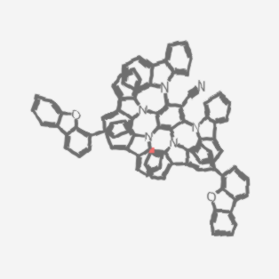 N#Cc1c(-n2c3ccccc3c3ccccc32)c(-n2c3ccccc3c3cc(-c4cccc5c4oc4ccccc45)ccc32)c(-n2c3ccccc3c3ccccc32)c(-n2c3ccccc3c3cc(-c4cccc5c4oc4ccccc45)ccc32)c1-n1c2ccccc2c2ccccc21